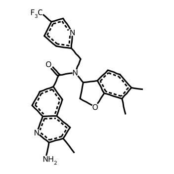 Cc1cc2cc(C(=O)N(Cc3ccc(C(F)(F)F)cn3)C3COc4c3ccc(C)c4C)ccc2nc1N